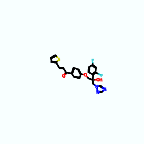 O=C(/C=C/c1cccs1)c1ccc(OC[C@@](O)(Cn2cncn2)c2ccc(F)cc2F)cc1